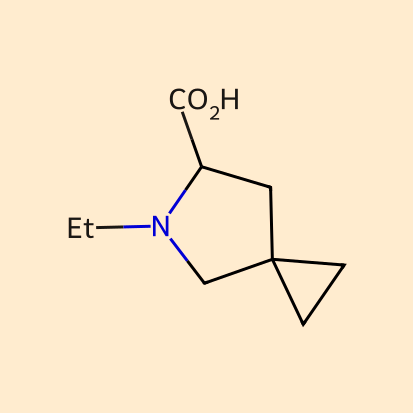 CCN1CC2(CC2)CC1C(=O)O